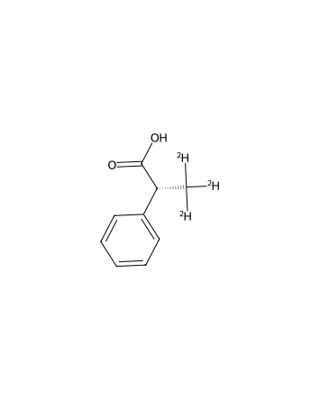 [2H]C([2H])([2H])[C@@H](C(=O)O)c1ccccc1